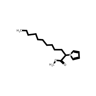 CCCCCCCCCCC(C(=O)OC)n1cccc1